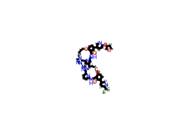 O=C1Nc2cc(C3CCCOc4ccc(-c5ccc(C(F)F)nc5)cc4C(=O)Nc4cccc(n4)-c4nncn43)cc(n2)-c2nncn2CCCCOc2ccc(-c3ccc(OC4CCOC4)nc3)cc21